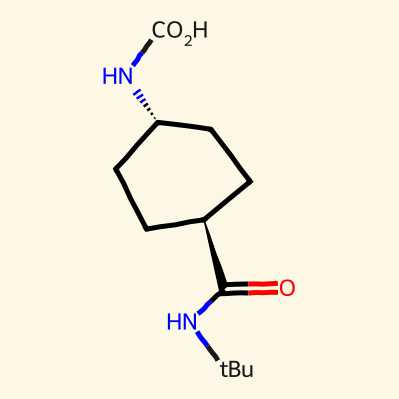 CC(C)(C)NC(=O)[C@H]1CC[C@H](NC(=O)O)CC1